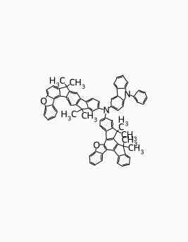 CC1(C)c2cc(N(c3ccc4c(c3)C(C)(C)c3c5c(c6c(oc7ccccc76)c3-4)-c3ccccc3C5(C)C)c3ccc4c(c3)c3ccccc3n4-c3ccccc3)ccc2-c2cc3c(cc21)-c1c(ccc2oc4ccccc4c12)C3(C)C